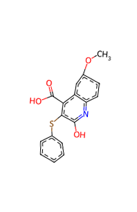 COc1ccc2nc(O)c(Sc3ccccc3)c(C(=O)O)c2c1